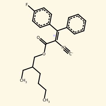 [C-]#[N+]/C(C(=O)OCC(CC)CCCC)=C(\c1ccccc1)c1ccc(F)cc1